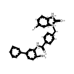 Nc1ccc(-c2ccccc2)cc1NC(=O)c1ccc(Cn2c(=O)[nH]c3ccc(F)cc32)cc1